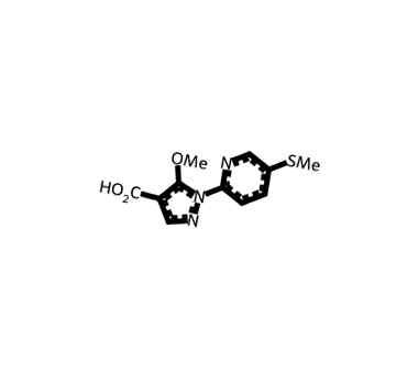 COc1c(C(=O)O)cnn1-c1ccc(SC)cn1